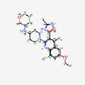 CCOc1cc(F)c2nc(N3CCC(N[C@@H]4CCCOC4)CC3)c(-c3nc(C)no3)c(C)c2c1